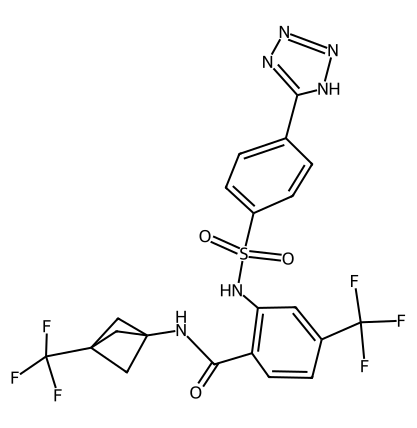 O=C(NC12CC(C(F)(F)F)(C1)C2)c1ccc(C(F)(F)F)cc1NS(=O)(=O)c1ccc(-c2nnn[nH]2)cc1